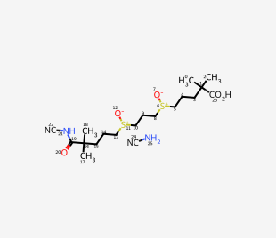 CC(C)(CCC[S+]([O-])CCC[S+]([O-])CCCC(C)(C)C(=O)NC#N)C(=O)O.N#CN